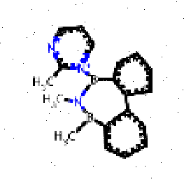 CB1c2ccccc2-c2ccccc2B([n+]2cccnc2C)N1C